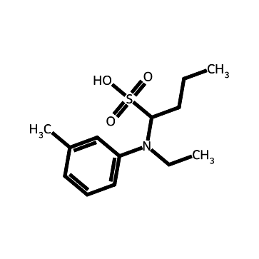 CCCC(N(CC)c1cccc(C)c1)S(=O)(=O)O